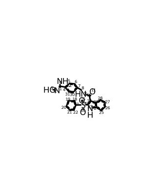 NC(=NO)c1ccc(CNC(=O)c2c(S(=O)(=O)c3ccccc3)[nH]c3ccccc23)cc1